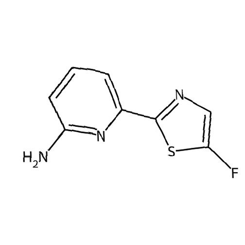 Nc1cccc(-c2ncc(F)s2)n1